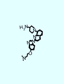 CN(C)CCOc1ccc2c(c1)ncn2-c1ccc2cccc(N3CCC(N)CC3)c2n1